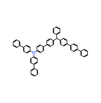 c1ccc(-c2ccc(-c3ccc(C(c4ccccc4)c4ccc(-c5ccc(N(c6ccc(-c7ccccc7)cc6)c6ccc(-c7ccccc7)cc6)cc5)cc4)cc3)cc2)cc1